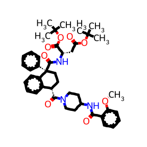 COc1ccccc1C(=O)NC1CCN(C(=O)[C@H]2CC[C@@](C(=O)N[C@@H](CC(=O)OC(C)(C)C)C(=O)OC(C)(C)C)(c3ccccc3)c3ccccc32)CC1